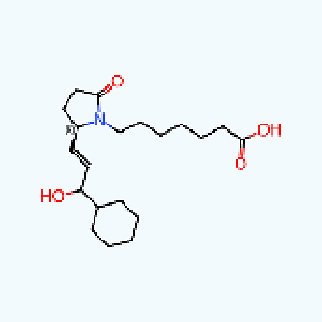 O=C(O)CCCCCCN1C(=O)CC[C@@H]1C=CC(O)C1CCCCC1